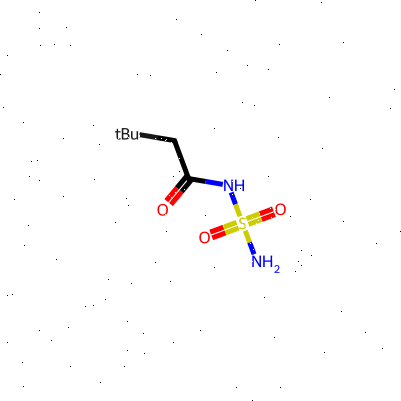 CC(C)(C)CC(=O)NS(N)(=O)=O